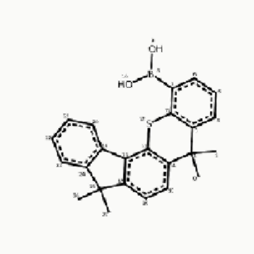 CC1(C)c2cccc(B(O)O)c2Sc2c1ccc1c2-c2ccccc2C1(C)C